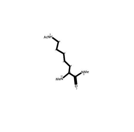 CNC(=O)C(CCCCCNC(C)=O)NC